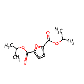 CC(C)OC(=O)c1ccc(C(=O)OC(C)C)o1